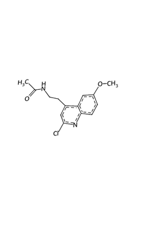 COc1ccc2nc(Cl)cc(CCNC(C)=O)c2c1